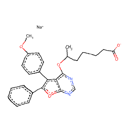 COc1ccc(-c2c(-c3ccccc3)oc3ncnc(OC(C)CCCCC(=O)[O-])c23)cc1.[Na+]